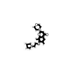 Cc1cc2c(=O)cc(N3CCOCC3)oc2c(C)c1OCCN1CCCC1